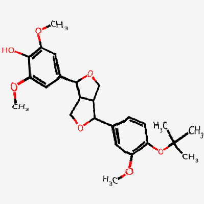 COc1cc(C2OCC3C(c4cc(OC)c(O)c(OC)c4)OCC23)ccc1OC(C)(C)C